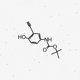 C#Cc1cc(NC(=O)OC(C)(C)C)ccc1O